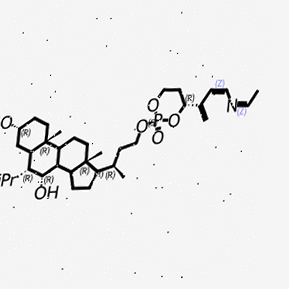 C=C(/C=C\N=C/C)[C@H]1CCO[P@](=O)(OCC[C@@H](C)[C@H]2CCC3C4C(CC[C@@]32C)[C@@]2(C)CC[C@@H](O)CC2[C@@H](C(C)C)[C@H]4O)O1